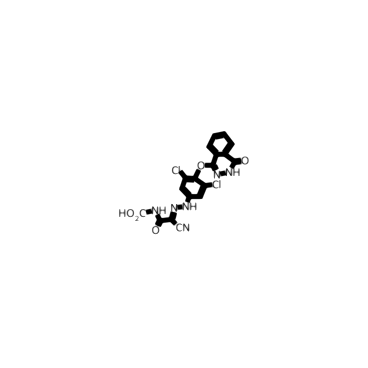 N#C/C(=N\Nc1cc(Cl)c(Oc2n[nH]c(=O)c3ccccc23)c(Cl)c1)C(=O)NC(=O)O